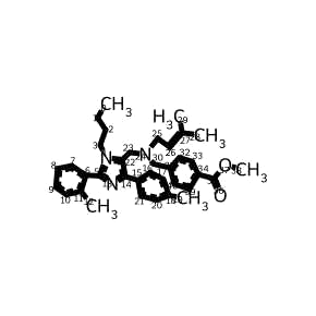 CCCCn1c(-c2ccccc2C)nc(-c2ccc(C)cc2)c1CN(CC=C(C)C)Cc1ccc(C(=O)OC)cc1